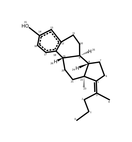 CCCC(C)=C1CC[C@H]2[C@@H]3CCc4cc(O)ccc4[C@H]3CC[C@]12C